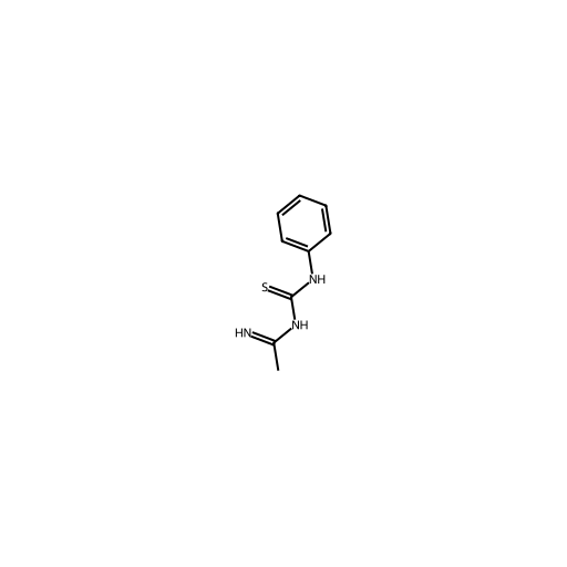 CC(=N)NC(=S)Nc1ccccc1